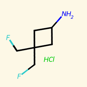 Cl.NC1CC(CF)(CF)C1